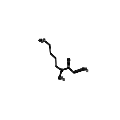 [CH2]CCCCN(C)C(=O)C=C